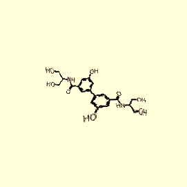 O=C(NC(CO)CO)c1cc(O)cc(-c2cc(O)cc(C(=O)NC(CO)CO)c2)c1